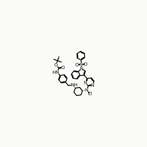 CC(C)(C)OC(=O)Nc1ccc(CN[C@H]2CCC[C@@H](N(Cl)c3nccc(-c4cn(S(=O)(=O)c5ccccc5)c5ccccc45)n3)C2)cc1